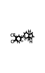 Clc1cc(N2CC[C@H]3CCN[C@H]3C2)cnc1Cl